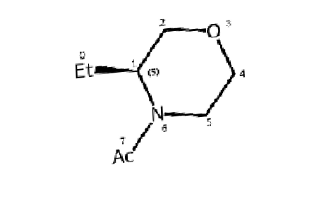 CC[C@H]1COCCN1C(C)=O